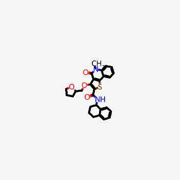 Cn1c(=O)c2c(OCC3CCCO3)c(C(=O)NC3CCCc4ccccc43)sc2c2ccccc21